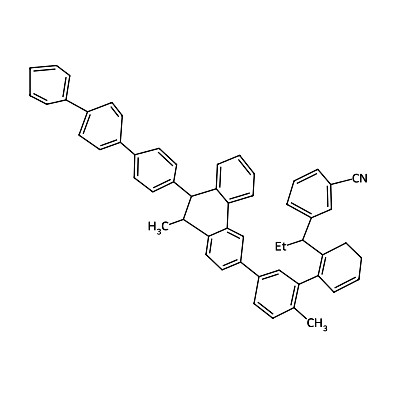 CCC(C1=C(c2cc(-c3ccc4c(c3)-c3ccccc3C(c3ccc(-c5ccc(-c6ccccc6)cc5)cc3)C4C)ccc2C)C=CCC1)c1cccc(C#N)c1